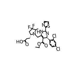 CCOC(=O)C1=C(CN2C(C)C(F)(F)C[C@H]2CCC(=O)O)NC(c2nccs2)=N[C@H]1c1ccc(Cl)cc1Cl